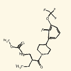 CCC(CNC(=O)OC)C(=O)N1CCC(c2cccc(OC(F)(F)F)c2F)CC1